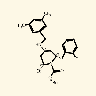 CC[C@@H]1C[C@H](NCc2cc(C(F)(F)F)cc(C(F)(F)F)c2)C[C@H](Cc2ccccc2F)N1C(=O)OC(C)(C)C